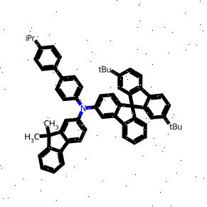 CC(C)c1ccc(-c2ccc(N(c3ccc4c(c3)-c3ccccc3C43c4cc(C(C)(C)C)ccc4-c4ccc(C(C)(C)C)cc43)c3ccc4c(c3)C(C)(C)c3ccccc3-4)cc2)cc1